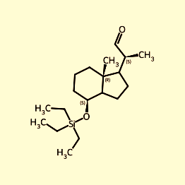 CC[Si](CC)(CC)O[C@H]1CCC[C@]2(C)C([C@H](C)C=O)CCC12